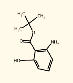 CC(C)(C)OC(=O)c1c(N)cccc1O